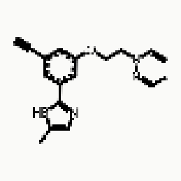 C#Cc1cc(OCCN(C=C)/N=C\C)cc(C2=NC=C(C)B2)c1